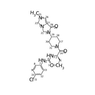 CC[C@@H](NC(=O)Nc1ccc(Cl)cc1)C(=O)N1CCC(N2CN3CN(C)C=C3C2=O)CC1